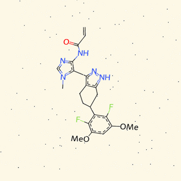 C=CC(=O)Nc1ncn(C)c1-c1n[nH]c2c1CCC(c1c(F)c(OC)cc(OC)c1F)C2